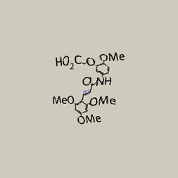 COc1cc(OC)c(/C=C/C(=O)Nc2ccc(OC)c(OCC(=O)O)c2)c(OC)c1